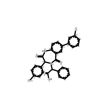 O=C(O)C(c1ccccc1)N1C(=O)c2cc(-c3cccc(Cl)c3)ccc2NC(=O)C1c1ccc(Cl)cc1